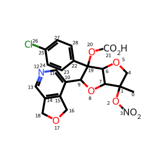 CC1(O[N+](=O)[O-])COC2C1OC(c1cncc3c1COC3)C2(OC(=O)O)c1ccc(Cl)cc1